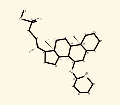 COC(=O)CC[C@@H](C)C1CCC2C3C(OC4CCCCO4)CC4CCCC[C@]4(C)C3CC[C@@]21C